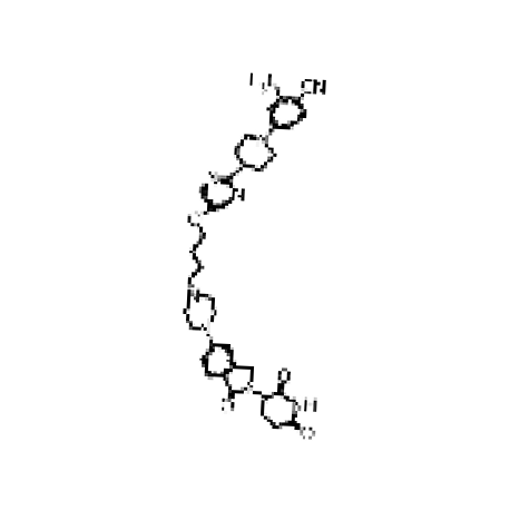 N#Cc1ccc(N2CCC(c3ncc(OCCCCN4CCN(c5ccc6c(c5)CN(C5CCC(=O)NC5=O)C6=O)CC4)cn3)CC2)cc1C(F)(F)F